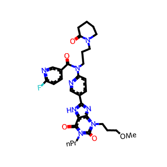 CCCn1c(=O)c2[nH]c(-c3ccc(N(CCCN4CCCCC4=O)C(=O)c4ccc(F)nc4)nc3)nc2n(CCCOC)c1=O